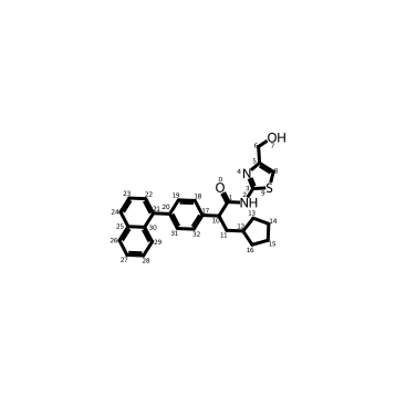 O=C(Nc1nc(CO)cs1)C(CC1CCCC1)c1ccc(-c2cccc3ccccc23)cc1